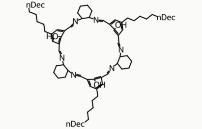 CCCCCCCCCCCCCCCc1cc2c(O)c(c1)/C=N/C1CCCCC1/N=C/c1cc(CCCCCCCCCCCCCCC)cc(c1O)/C=N/C1CCCCC1/N=C/c1cc(CCCCCCCCCCCCCCC)cc(c1O)/C=N/C1CCCCC1/N=C/2